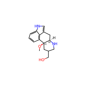 CO[C@]12CC(CO)CN[C@@H]1Cc1c[nH]c3cccc2c13